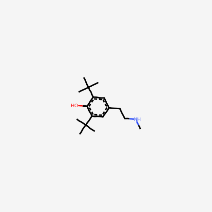 CNCCc1cc(C(C)(C)C)c(O)c(C(C)(C)C)c1